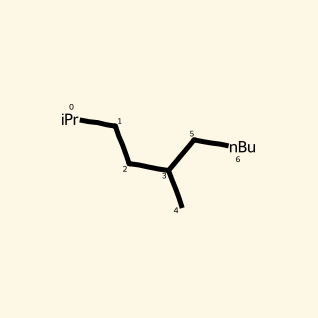 [CH2]C(C)CCC(C)CCCCC